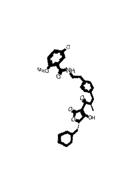 COc1ccc(Cl)cc1C(=O)NCCc1ccc(C[C@@H](C)C(=O)C2=C(O)[C@H](CC3CCCCC3)OC2=O)cc1